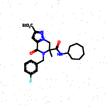 CCOC(=O)c1cc2n(n1)CC(C)(C(=O)NC1CCCCCC1)N(Cc1cccc(F)c1)C2=O